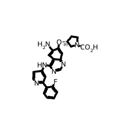 Nc1cc2c(Nc3ccnc(-c4ccccc4F)c3)ncnc2cc1O[C@@H]1CCN(C(=O)O)C1